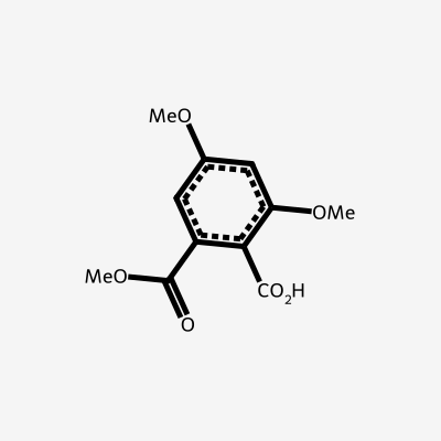 COC(=O)c1cc(OC)cc(OC)c1C(=O)O